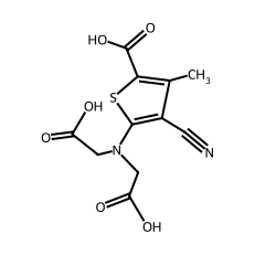 Cc1c(C(=O)O)sc(N(CC(=O)O)CC(=O)O)c1C#N